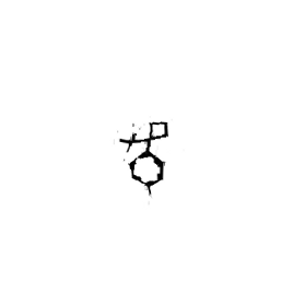 CCCC(N)(I)C1(c2ccc(Cl)cc2)CCC1.Cl